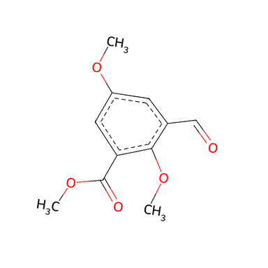 COC(=O)c1cc(OC)cc(C=O)c1OC